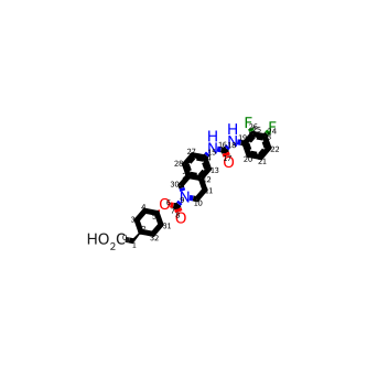 O=C(O)C[C@H]1CC[C@H](OC(=O)N2CCc3cc(NC(=O)Nc4cccc(F)c4F)ccc3C2)CC1